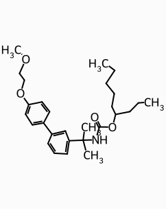 CCCCCC(CCC)OC(=O)NC(C)(C)c1cccc(-c2ccc(OCCOC)cc2)c1